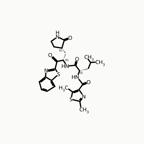 Cc1nc(C(=O)N[C@@H](CC(C)C)C(=O)N[C@@H](C[C@@H]2CCNC2=O)C(=O)c2nc3ccccc3s2)c(C)s1